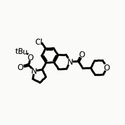 CC(C)(C)OC(=O)N1CCCC1c1cc(Cl)cc2c1CCN(C(=O)CC1CCOCC1)C2